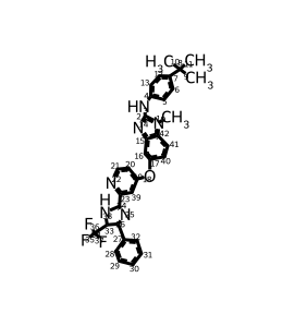 Cn1c(Nc2ccc(C(C)(C)C)cc2)nc2cc(Oc3ccnc(C4=NC(c5ccccc5)C(C(F)(F)F)N4)c3)ccc21